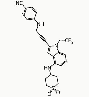 N#Cc1ccc(NCC#Cc2cc3c(NC4CCS(=O)(=O)CC4)cccc3n2CC(F)(F)F)cn1